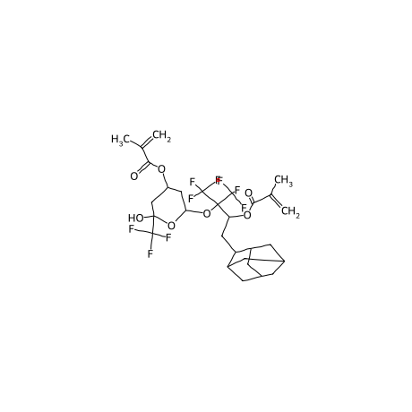 C=C(C)C(=O)OC1CC(OC(C(CC2C3CC4CC(C3)CC2C4)OC(=O)C(=C)C)(C(F)(F)F)C(F)(F)F)OC(O)(C(F)(F)F)C1